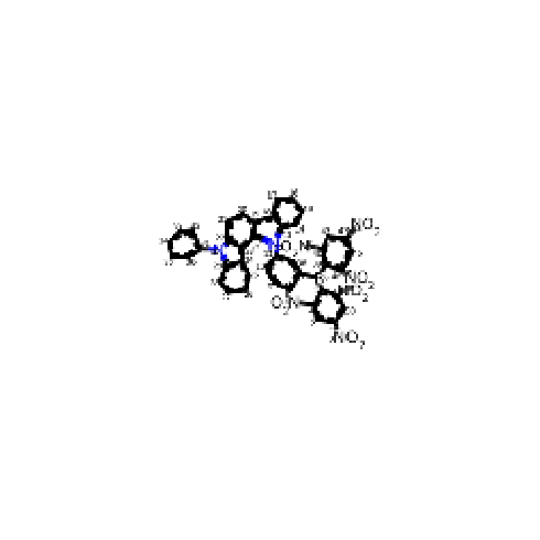 O=[N+]([O-])c1cc([N+](=O)[O-])c(B(c2cccc(-n3c4ccccc4c4ccc5c(c6ccccc6n5-c5ccccc5)c43)c2)c2c([N+](=O)[O-])cc([N+](=O)[O-])cc2[N+](=O)[O-])c([N+](=O)[O-])c1